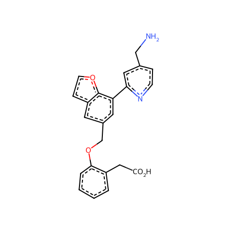 NCc1ccnc(-c2cc(COc3ccccc3CC(=O)O)cc3ccoc23)c1